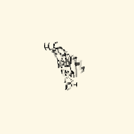 Cc1ccc(OCC2CC2)c(-c2ncnc3c(C(=O)NC4CCC(O)CC4)c(C)[nH]c23)c1F